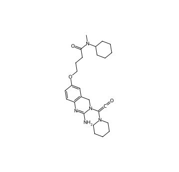 CN(C(=O)CCCOc1ccc2c(c1)CN(C(=C=O)N1CCCCC1)C(N)=N2)C1CCCCC1